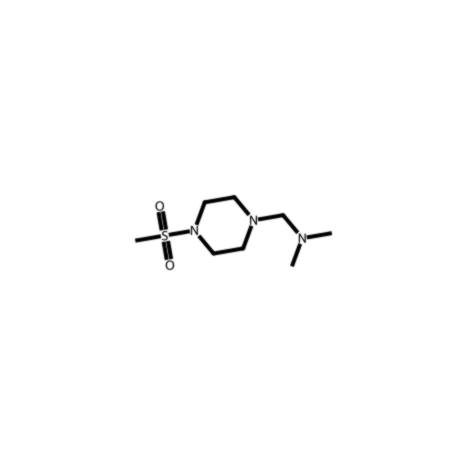 CN(C)CN1CCN(S(C)(=O)=O)CC1